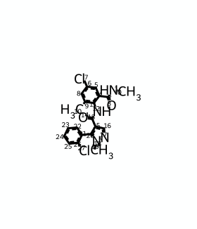 CNC(=O)c1cc(Cl)cc(C)c1NC(=O)c1cnn(C)c1-c1ccccc1Cl